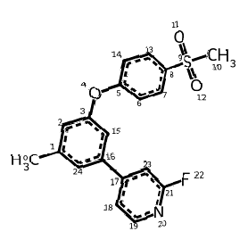 Cc1cc(Oc2ccc(S(C)(=O)=O)cc2)cc(-c2ccnc(F)c2)c1